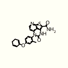 Cc1cc(OC2=CCCC=C2)ccc1N1C(=O)Nc2c(C(N)=O)sc3nccc1c23